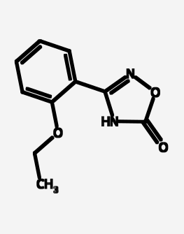 CCOc1ccccc1-c1noc(=O)[nH]1